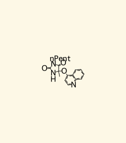 CCCCCN1C(=O)NC(C)(Oc2ccnc3ccccc23)C1=O